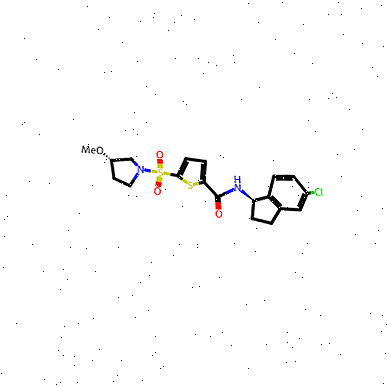 CO[C@H]1CCN(S(=O)(=O)c2ccc(C(=O)N[C@@H]3CCc4cc(Cl)ccc43)s2)C1